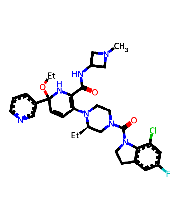 CCOC1(c2cccnc2)C=CC(N2CCN(C(=O)N3CCc4cc(F)cc(Cl)c43)C[C@H]2CC)=C(C(=O)NC2CN(C)C2)N1